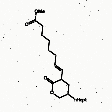 CCCCCCCC1COC(=O)C(/C=C/CCCCCC(=O)OC)C1